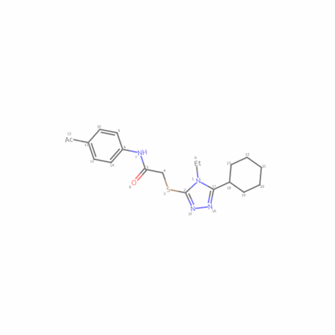 CCn1c(SCC(=O)Nc2ccc(C(C)=O)cc2)nnc1C1CCCCC1